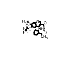 CCc1ccccc1Nc1c(C(N)=O)cnc2cc(OC)c(OC(=O)C(F)(F)F)cc12